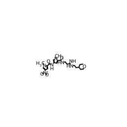 Cn1cc(NC(=O)c2cc([N+](=O)[O-])cn2C)cc1C(=O)NCCC(=N)NCCC1CCOCC1